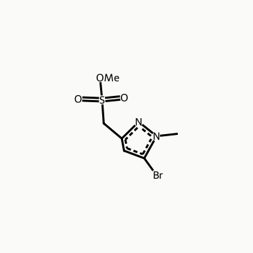 COS(=O)(=O)Cc1cc(Br)n(C)n1